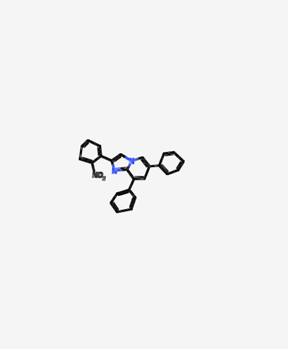 O=[N+]([O-])c1ccccc1-c1cn2cc(-c3ccccc3)cc(-c3ccccc3)c2n1